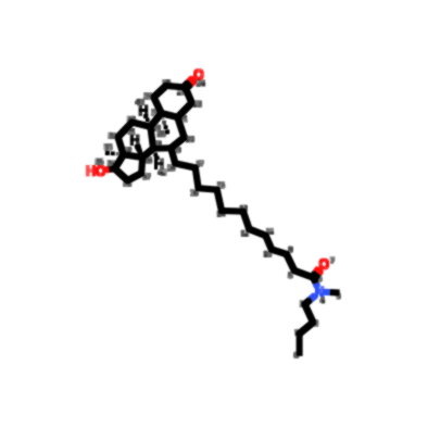 CCCCN(C)C(=O)CCCCCCCCCCCC1CC2CC(=O)CC[C@]2(C)[C@@H]2CC[C@]3(C)C(O)CC[C@H]3[C@H]12